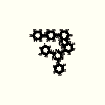 c1ccc(-c2nc(-c3ccccc3)nc(-c3cccc4c3oc3c(-c5ccc(-c6cccnc6)cc5)cccc34)n2)cc1